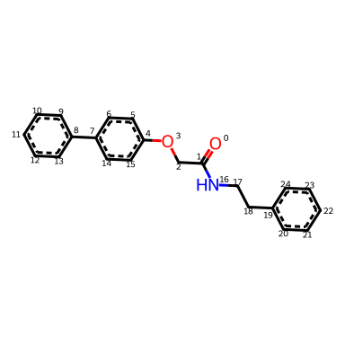 O=C(COc1ccc(-c2ccccc2)cc1)NCCc1ccccc1